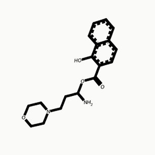 NC(CCN1CCOCC1)OC(=O)c1ccc2ccccc2c1O